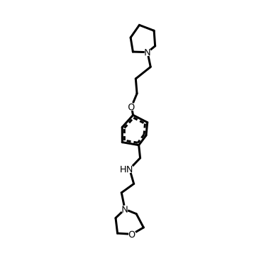 c1cc(OCCCN2CCCCC2)ccc1CNCCN1CCOCC1